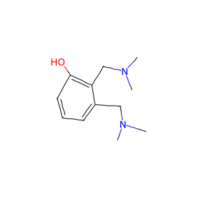 CN(C)Cc1cccc(O)c1CN(C)C